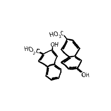 O=C(O)c1cc2ccccc2cc1O.O=C(O)c1ccc2cc(O)ccc2c1